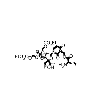 CCOC(=O)OCOP(=O)(OCOC(=O)OCC)OC[C@@](CF)(O[C@H](CO)n1ccc(=O)n(COC(=O)C(N)C(C)C)c1=O)[C@H](C)O